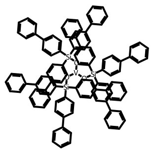 c1ccc(-c2ccc([Si]([O][V]([O][Si](c3ccc(-c4ccccc4)cc3)(c3ccc(-c4ccccc4)cc3)c3ccc(-c4ccccc4)cc3)[O][Si](c3ccc(-c4ccccc4)cc3)(c3ccc(-c4ccccc4)cc3)c3ccc(-c4ccccc4)cc3)(c3ccc(-c4ccccc4)cc3)c3ccc(-c4ccccc4)cc3)cc2)cc1